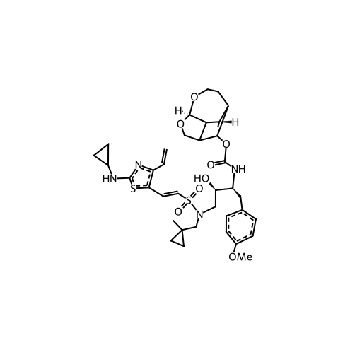 C=Cc1nc(NC2CC2)sc1/C=C/S(=O)(=O)N(C[C@@H](O)[C@H](Cc1ccc(OC)cc1)NC(=O)OC1C2CO[C@H]3OCCC1[C@H](C)C23)CC1(C)CC1